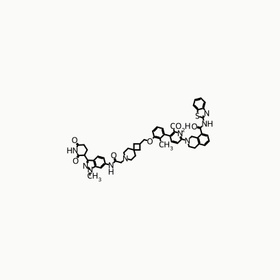 Cc1c(OCC2CC3(CCN(CC(=O)Nc4ccc5c(C6CCC(=O)NC6=O)nn(C)c5c4)CC3)C2)cccc1-c1ccc(N2CCc3cccc(C(=O)Nc4nc5ccccc5s4)c3C2)nc1C(=O)O